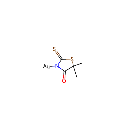 CC1(C)SC(=S)[N]([Au])C1=O